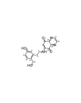 O=C1C=C(NCCc2cc(O)ccc2CO)C(=O)c2nccnc21